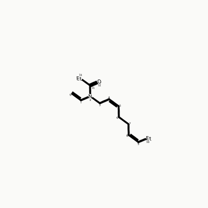 C=CN(C/C=C\CC/C=C\CC)C(=O)CC